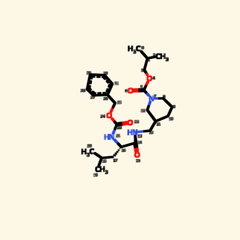 CC(C)COC(=O)N1CCCC(CNC(=O)[C@H](CC(C)C)NC(=O)OCc2ccccc2)C1